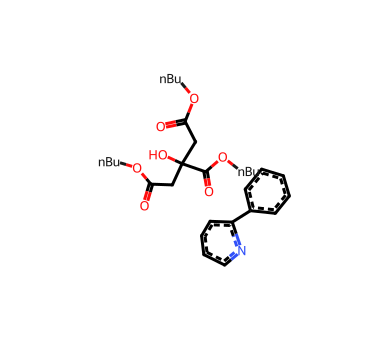 CCCCOC(=O)CC(O)(CC(=O)OCCCC)C(=O)OCCCC.c1ccc(-c2ccccn2)cc1